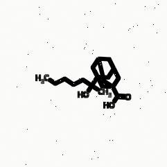 CCCCCC(C)(O)C12CC3CC(CC(C(=O)O)(C3)C1)C2